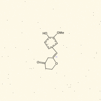 COc1cc(/C=C2\CC(=O)CCO2)ccc1O